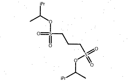 CC(C)C(C)OS(=O)(=O)CCCS(=O)(=O)OC(C)C(C)C